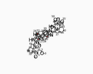 COCC(NC=O)C(=O)N1C(c2nc3cc(-c4cc5ccc4C[C@@H](C)c4ccc(c(-c6ccc7[nH]c(C8CC9CCCCC9N8C(=O)C(COC)NC(=O)OC)nc7c6)c4)CC5)ccc3[nH]2)CC2CCCCC21